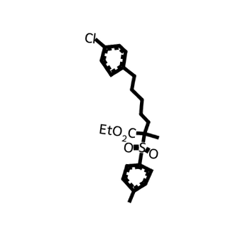 CCOC(=O)C(C)(CCCCCc1ccc(Cl)cc1)S(=O)(=O)c1ccc(C)cc1